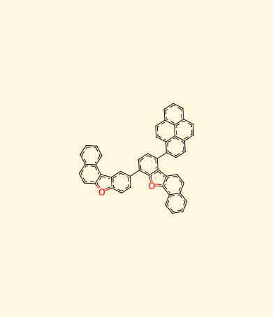 c1ccc2c(c1)ccc1c2oc2c(-c3ccc4oc5ccc6ccccc6c5c4c3)ccc(-c3ccc4ccc5cccc6ccc3c4c56)c21